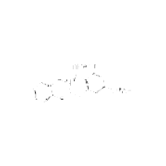 CCCCCC1=[N+](Cc2ccccc2F)CCc2cc(OC)ccc21